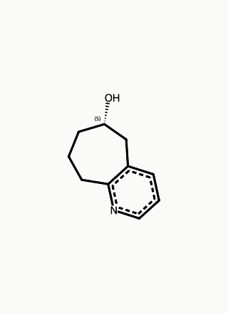 O[C@H]1CCCc2ncccc2C1